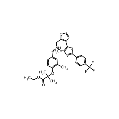 CCOC(=O)C(C)(C)Oc1ccc(CNCc2occc2-c2sc(-c3ccc(C(F)(F)F)cc3)nc2C)cc1C